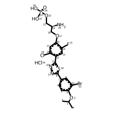 CC(C)Oc1ccc(-c2nnc(-c3cc(F)c(OC[C@H](N)COP(=O)(O)O)cc3Cl)s2)cc1Br.Cl